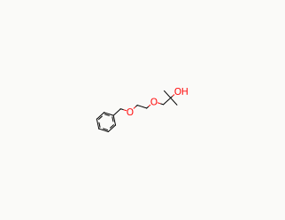 CC(C)(O)COCCOCc1ccccc1